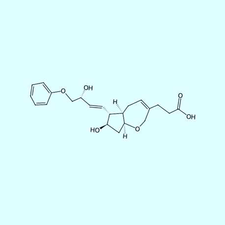 O=C(O)CCC1=CC[C@@H]2[C@@H](C=C[C@@H](O)COc3ccccc3)[C@H](O)C[C@@H]2OC1